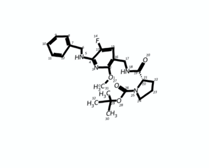 COc1nc(NCc2ccccc2)c(F)cc1CNC(=O)[C@@H]1CCCN1C(=O)OC(C)(C)C